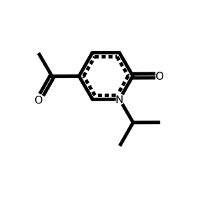 CC(=O)c1ccc(=O)n(C(C)C)c1